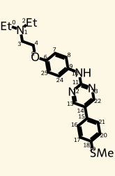 CCN(CC)CCOc1ccc(Nc2ncc(-c3ccc(SC)cc3)cn2)cc1